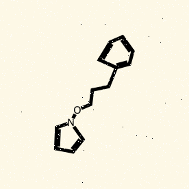 c1ccc(CCCOn2cccc2)cc1